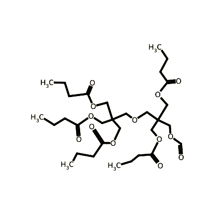 CCCC(=O)OCC(COC=O)(COCC(COC(=O)CCC)(COC(=O)CCC)COC(=O)CCC)COC(=O)CCC